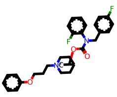 O=C(OC1C[N+]2(CCCOc3ccccc3)CCC1CC2)N(Cc1ccc(F)cc1)c1ccccc1F